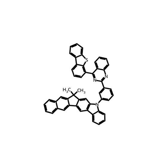 CC1(C)c2cc3ccccc3cc2-c2cc3c4ccccc4n(-c4cccc(-c5nc(-c6cccc7c6sc6ccccc67)c6ccccc6n5)c4)c3cc21